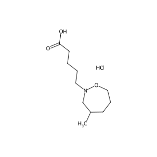 CC1CCCON(CCCCC(=O)O)C1.Cl